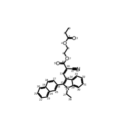 CCC(=O)OCCOC(=O)/C(C#N)=C/c1c(-c2ccc3ccccc3c2)n(CC)c2ccccc12